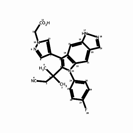 CC(C)(CC#N)c1c(-c2cnn(CC(=O)O)c2)c2cc3[nH]ncc3cc2n1-c1ccc(F)cc1